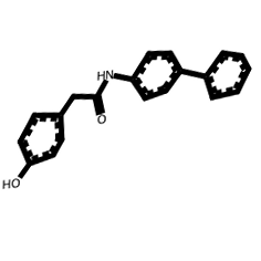 O=C(Cc1ccc(O)cc1)Nc1ccc(-c2ccccc2)cc1